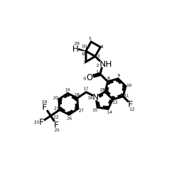 O=C(NC12CC[C@H]1C2)c1ccc(F)c2ccn(Cc3ccc(C(F)(F)F)cc3)c12